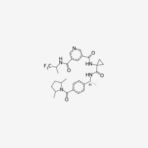 CC1CCC(C)N1C(=O)c1ccc([C@@H](C)NC(=O)C2(NC(=O)c3cncc(C(=O)NC(C)C(F)(F)F)c3)CC2)cc1